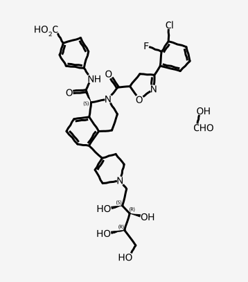 O=C(O)c1ccc(NC(=O)[C@@H]2c3cccc(C4=CCN(C[C@H](O)[C@@H](O)[C@H](O)CO)CC4)c3CCN2C(=O)C2CC(c3cccc(Cl)c3F)=NO2)cc1.O=CO